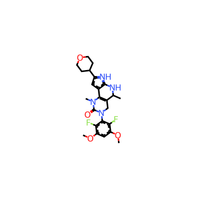 COc1cc(OC)c(F)c(N2CC3=C(c4cc(C5CCOCC5)[nH]c4NC3C)N(C)C2=O)c1F